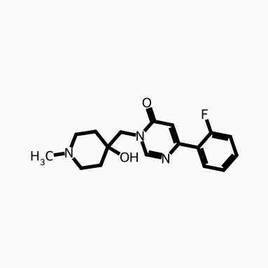 CN1CCC(O)(Cn2cnc(-c3ccccc3F)cc2=O)CC1